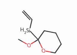 C=C[SiH2]C1(OC)CCCCO1